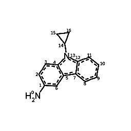 Nc1ccc2c(c1)c1ccccc1n2C1CC1